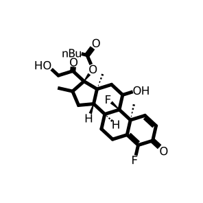 CCCCC(=O)O[C@]1(C(=O)CO)C(C)C[C@H]2[C@@H]3CCC4=C(F)C(=O)C=C[C@]4(C)[C@@]3(F)C(O)C[C@@]21C